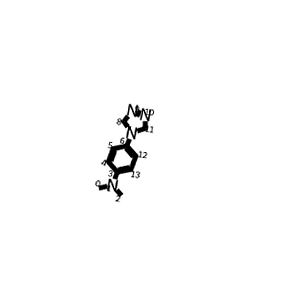 CN(C)c1ccc(N2CN=NC2)cc1